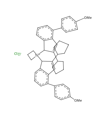 COc1ccc(-c2cccc3c2C=C(C2CCCC2)[CH]3[Ti+2]2([CH]3C(C4CCCC4)=Cc4c(-c5ccc(OC)cc5)cccc43)[CH2]C[CH2]2)cc1.[Cl-].[Cl-]